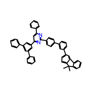 CC1(C)c2ccccc2-c2cc(-c3cccc(-c4ccc(-c5nc(-c6ccccc6)cc(-c6cc(-c7ccccc7)cc(-c7ccccc7)c6)n5)cc4)c3)ccc21